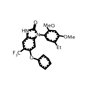 CCc1cc(-n2c(=O)[nH]c3cc(C(F)(F)F)c(Oc4ccccc4)cc32)c(OC)cc1OC